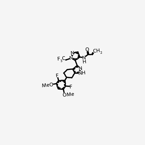 C=CC(=O)Nc1cnn(CC(F)(F)F)c1-c1n[nH]c2c1CCC(c1c(F)c(OC)cc(OC)c1F)C2